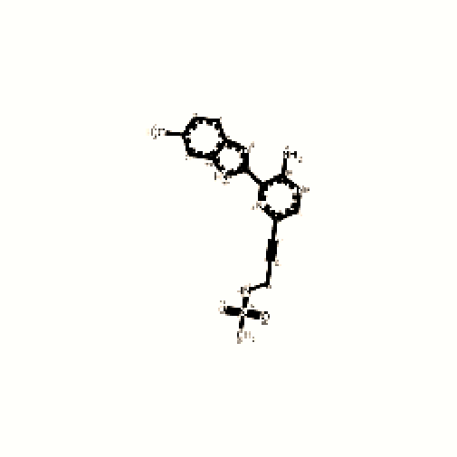 Cc1ccc2nc(-c3nc(C#CCNS(C)(=O)=O)cnc3N)[nH]c2c1